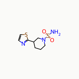 NS(=O)(=O)N1CCCC(c2nccs2)C1